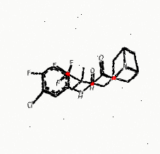 CC(C)(NC(=O)CN1C2CC1CN(CC(=O)Nc1ccc(F)c(Cl)c1)C2)C(F)(F)F